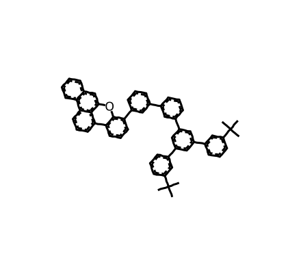 CC(C)(C)c1cccc(-c2cc(-c3cccc(-c4cccc(-c5cccc6c5Oc5cc7ccccc7c7cccc-6c57)c4)c3)cc(-c3cccc(C(C)(C)C)c3)c2)c1